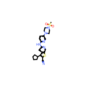 CS(=O)(=O)N1CCN(c2ccc(Nc3cc4c(C5CCCC5)c(C#N)sc4cn3)nc2)CC1